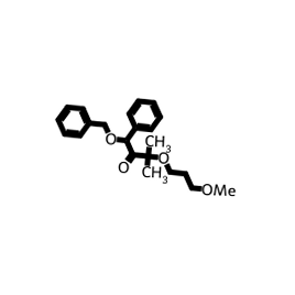 COCCCOC(C)(C)C(=O)C(OCc1ccccc1)c1ccccc1